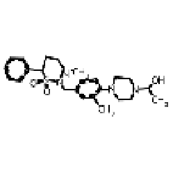 Cc1cc(CN2[C@@H](C)CCC(c3ccccc3)S2(=O)=O)ccc1N1CCN(C(C)O)CC1